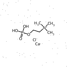 C[N+](C)(C)CCOP(=O)(O)O.[Ca].[Cl-]